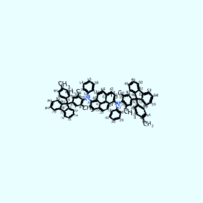 Cc1ccc(C2(c3cc(C)c(N(c4ccccc4)c4ccc5ccc6c(N(c7ccccc7)c7c(C)cc(C8(c9ccc(C)cc9)c9ccccc9-c9ccccc98)cc7C)ccc7ccc4c5c76)c(C)c3)c3ccccc3-c3ccccc32)cc1